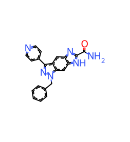 NC(=O)c1nc2cc3c(-c4ccncc4)nn(Cc4ccccc4)c3cc2[nH]1